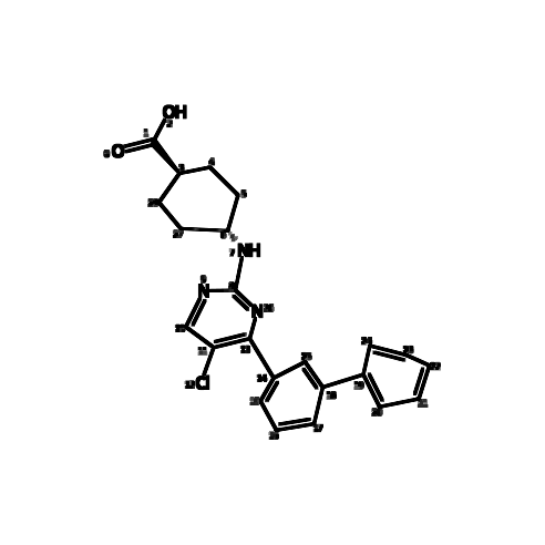 O=C(O)[C@H]1CC[C@H](Nc2ncc(Cl)c(-c3cccc(-c4ccccc4)c3)n2)CC1